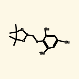 CC(C)(C)c1cc(C(C)(C)C)c(SCB2OC(C)(C)C(C)(C)O2)c(C(C)(C)C)c1